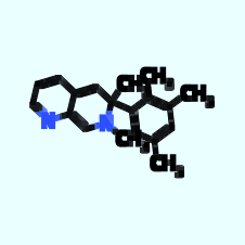 Cc1cc(C)c(C)c(C2(C)C=c3cccnc3=CN2C)c1